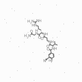 CC(C)[C@H](NC(=O)c1ccc([18F])c(C#N)c1)C(=O)NCCC(=O)N[C@@H](CCCNC(=N)N)C(=O)NCC(N)=O